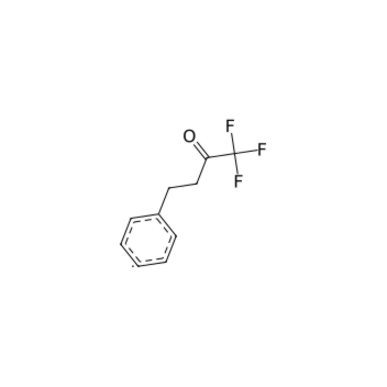 O=C(CCc1cc[c]cc1)C(F)(F)F